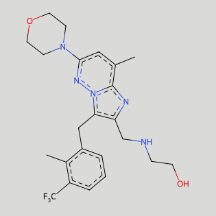 Cc1c(Cc2c(CNCCO)nc3c(C)cc(N4CCOCC4)nn23)cccc1C(F)(F)F